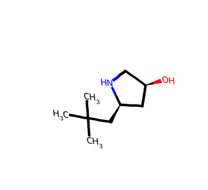 CC(C)(C)C[C@@H]1C[C@H](O)CN1